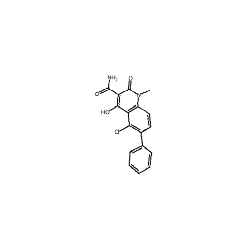 Cn1c(=O)c(C(N)=O)c(O)c2c(Cl)c(-c3ccccc3)ccc21